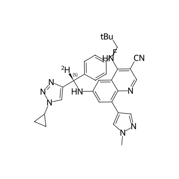 [2H][C@](Nc1cc(-c2cnn(C)c2)c2ncc(C#N)c(NCC(C)(C)C)c2c1)(c1ccc(F)cc1)c1cn(C2CC2)nn1